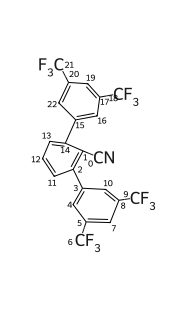 N#Cc1c(-c2cc(C(F)(F)F)cc(C(F)(F)F)c2)cccc1-c1cc(C(F)(F)F)cc(C(F)(F)F)c1